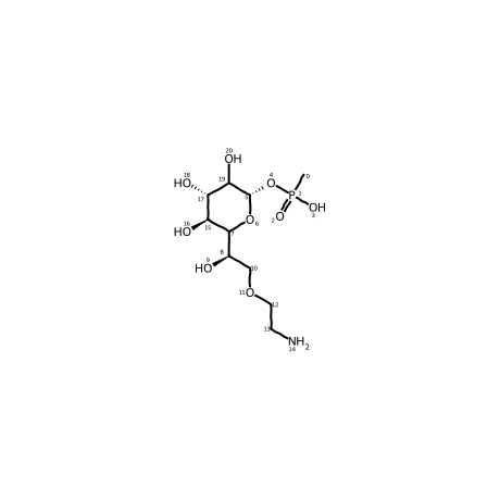 CP(=O)(O)O[C@@H]1OC([C@H](O)COCCN)[C@@H](O)[C@H](O)C1O